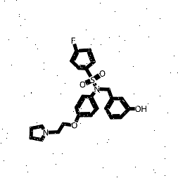 O=S(=O)(c1ccc(F)cc1)N(Cc1cccc(O)c1)c1ccc(OCCN2CCCC2)cc1